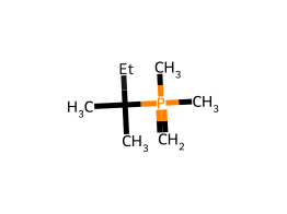 C=P(C)(C)C(C)(C)CC